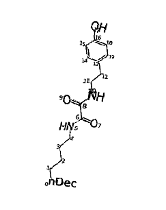 CCCCCCCCCCCCCCNC(=O)C(=O)NCCc1ccc(O)cc1